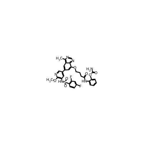 COc1ncc(-c2cc(OCCCC(=O)Nc3ccccc3OC(N)=O)c3ncnc(C)c3c2)cc1NS(=O)(=O)c1ccc(F)cc1F